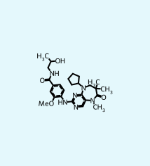 COc1cc(C(=O)NCC(C)O)ccc1Nc1ncc2c(n1)N(C1CCCC1)CC(C)(C)C(=O)N2C